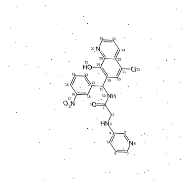 O=C(CNc1cccnc1)NC(c1cccc([N+](=O)[O-])c1)c1cc(Cl)c2cccnc2c1O